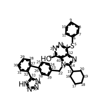 Oc1nnc(Sc2ccccc2)c2nc(C3CCCCC3)n(Cc3ccc(-c4ccccc4-c4nnn[nH]4)cc3)c12